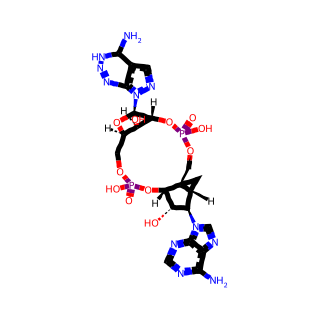 Nc1ncnc2c1ncn2[C@H]1[C@H](O)[C@@H]2OP(=O)(O)OC[C@H]3O[C@@H](n4ncc5c4N=NNC5N)[C@H](OP(=O)(O)OC[C@]24C[C@H]14)[C@@H]3O